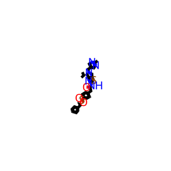 Cc1ncc(CN2Cc3sc(NC(=O)Cc4ccc(S(=O)(=O)CCc5ccccc5)cc4)nc3[C@@H]2C(C)C)cn1